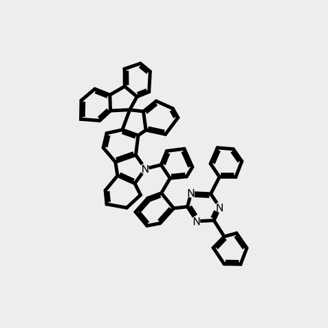 C1=C=C(c2ccccc2-n2c3c(c4ccc5c(c42)-c2ccccc2C52c4ccccc4-c4ccccc42)C=CCC3)C(c2nc(-c3ccccc3)nc(-c3ccccc3)n2)=CC=1